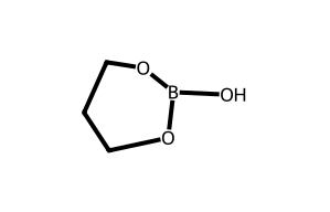 OB1OCCCO1